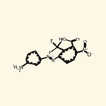 Nc1ccc(/N=N/c2ccc([N+](=O)[O-])c(C(=O)O)c2C(F)(F)F)cc1